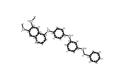 COc1cc2nccc(Oc3ccc(Oc4cccc(OCc5ccccc5)c4)cc3)c2cc1OC